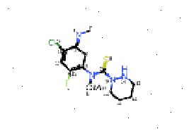 CN=C1CC(N(OC)C(=S)N2CCCCN2)=C(F)C=C1Cl